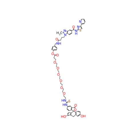 Cc1nc2cc(C(=O)Nc3nc(-c4ccccn4)cs3)ccc2n1CCCC(=O)NCc1ccc(OC(=O)CCOCCOCCOCCOCCOCCOCCNC(=S)Nc2ccc3c(c2)C(=O)OC32c3ccc(O)cc3Cc3cc(O)ccc32)cc1